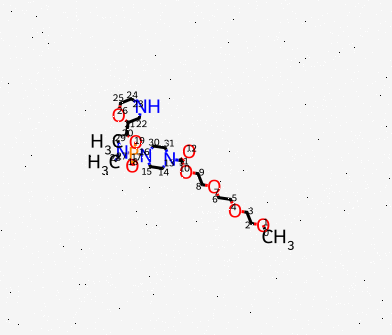 COCCOCCOCCOC(=O)N1CCN(P(=O)(OCC2CNCCO2)N(C)C)CC1